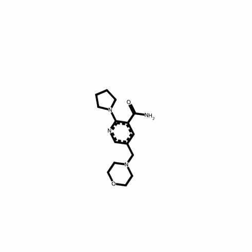 NC(=O)c1cc(CN2CCOCC2)cnc1N1CCCC1